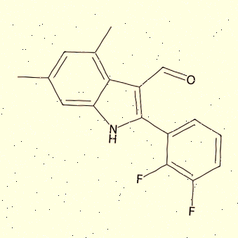 Cc1cc(C)c2c(C=O)c(-c3cccc(F)c3F)[nH]c2c1